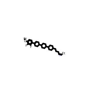 CC/C=C\CCCC1CCC(C2CCC(C3CC=C(c4ccc(OCC)c(F)c4F)CC3)CC2)CC1